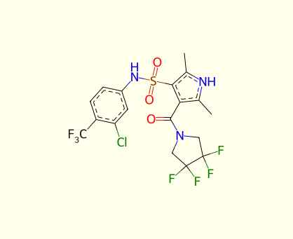 Cc1[nH]c(C)c(S(=O)(=O)Nc2ccc(C(F)(F)F)c(Cl)c2)c1C(=O)N1CC(F)(F)C(F)(F)C1